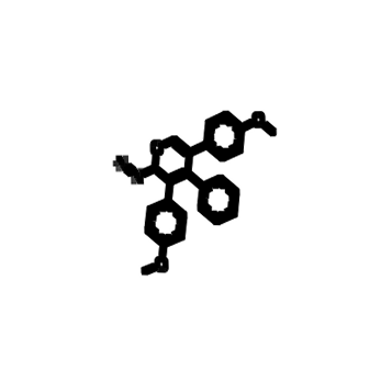 COc1ccc(C2=COC(N=[N])C(c3ccc(OC)cc3)=C2c2ccccc2)cc1